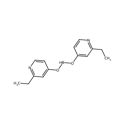 CCc1cc(OBOc2ccnc(CC)c2)ccn1